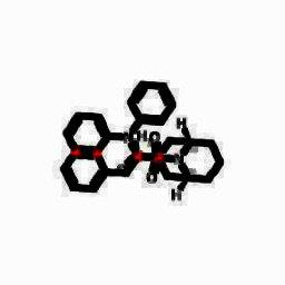 CN(Cc1ccccc1)S(=O)(=O)N1[C@@H]2CCC[C@H]1CN(C(=O)N(c1ccccc1)c1ccccc1)C2